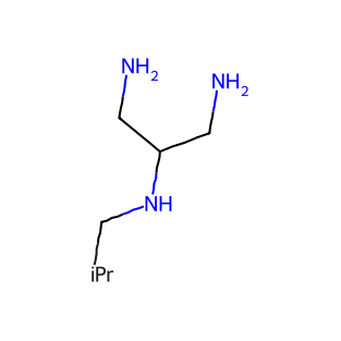 CC(C)CNC(CN)CN